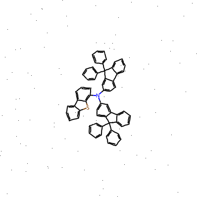 c1ccc(C2(c3ccccc3)c3ccccc3-c3cc(N(c4ccc5c(c4)C(c4ccccc4)(c4ccccc4)c4ccccc4-5)c4cccc5c4sc4ccccc45)ccc32)cc1